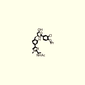 CC(=O)NC(C)c1nc(-c2ccc(C[C@@H](CCO)NC(=O)c3ccc(OC(C)C)c(Cl)c3)cc2)cn1C